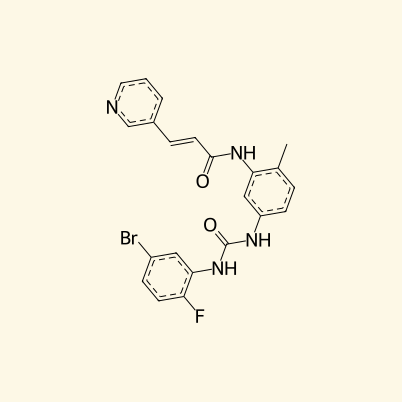 Cc1ccc(NC(=O)Nc2cc(Br)ccc2F)cc1NC(=O)C=Cc1cccnc1